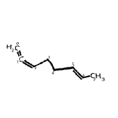 C=C=CCCC=CC